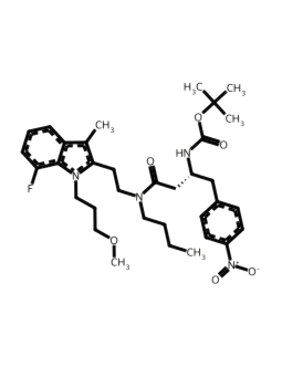 CCCCN(CCc1c(C)c2cccc(F)c2n1CCCOC)C(=O)C[C@@H](Cc1ccc([N+](=O)[O-])cc1)NC(=O)OC(C)(C)C